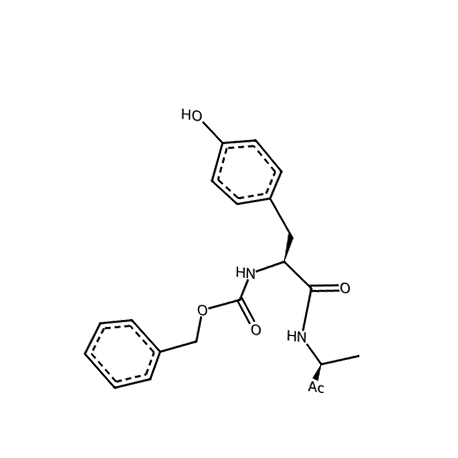 CC(=O)[C@H](C)NC(=O)[C@H](Cc1ccc(O)cc1)NC(=O)OCc1ccccc1